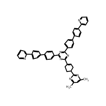 Cc1cc(C)nc(C2CC=C(c3nc(-c4ccc(-c5ccc(-c6ccccn6)cc5)cc4)nc(-c4ccc(-c5ccc(-c6ccccn6)cc5)cc4)n3)CC2)n1